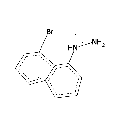 NNc1cccc2cccc(Br)c12